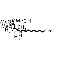 CCCCCCCCCCCCCCCCCCNC(C)(C)C(N)C[Si](OC)(OC)OC.Cl